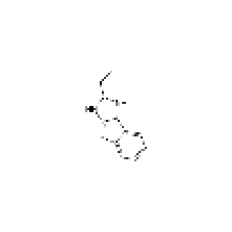 CCC1NC2=Cc3ccccc3C2N1